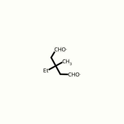 CCC(C)(C[C]=O)C[C]=O